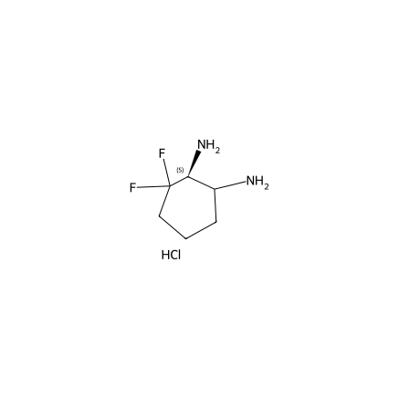 Cl.NC1CCCC(F)(F)[C@H]1N